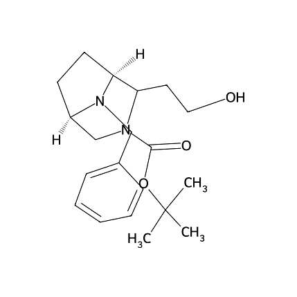 CC(C)(C)OC(=O)N1C[C@H]2CC[C@@H](C1CCO)N2Cc1ccccc1